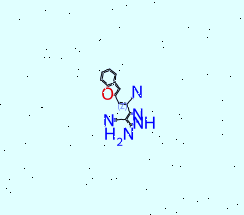 N#C/C(=C\c1cc2ccccc2o1)c1n[nH]c(N)c1C#N